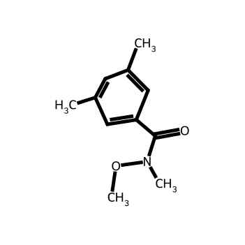 CON(C)C(=O)c1cc(C)cc(C)c1